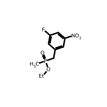 CCOP(C)(=O)Cc1cc(F)cc([N+](=O)[O-])c1